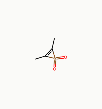 CC1=C(C)S1(=O)=O